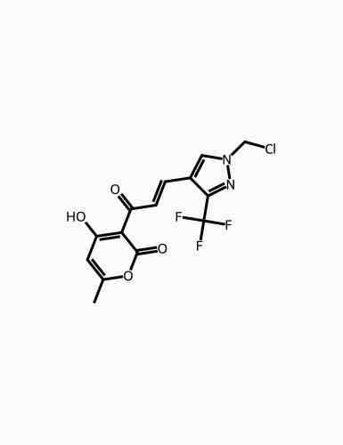 Cc1cc(O)c(C(=O)/C=C/c2cn(CCl)nc2C(F)(F)F)c(=O)o1